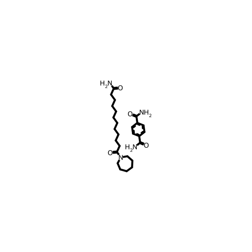 NC(=O)CCCCCCCCCCC(=O)N1CCCCCC1.NC(=O)c1ccc(C(N)=O)cc1